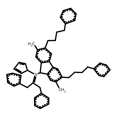 Cc1cc2c(cc1CCCCc1ccccc1)-c1cc(CCCCc3ccccc3)c(C)cc1[CH]2[Zr](=[C](Cc1ccccc1)Cc1ccccc1)[CH]1C=CC=C1